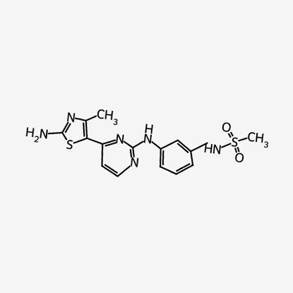 Cc1nc(N)sc1-c1ccnc(Nc2cccc(CNS(C)(=O)=O)c2)n1